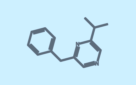 CC(C)c1cncc(Cc2ccccc2)n1